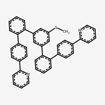 CSc1cc(-c2ccccc2-c2ccc(-c3ccccn3)cc2)cc(-c2ccccc2-c2ccc(-c3ccccn3)cc2)c1